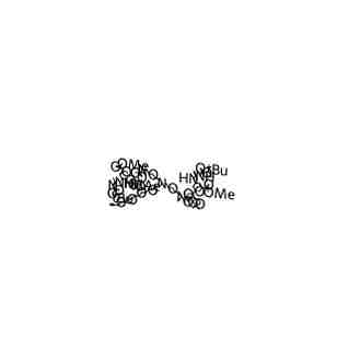 C#CCOCCOCCOCCOCCN(CCOCCN(C)C(=O)O[C@@H]([C@@H]1OC(C(=O)OC)=C[C@H](NC(=C)NC(=O)OC(C)(C)C)[C@H]1C)[C@H]1COC(C)(C)O1)CCOCCN(C)C(=O)O[C@@H]([C@@H]1OC(C(=O)OC)=C[C@H](N/C(C)=N\C(=O)OC(C)(C)C)[C@H]1NC(C)=O)[C@H]1COC(C)(C)O1